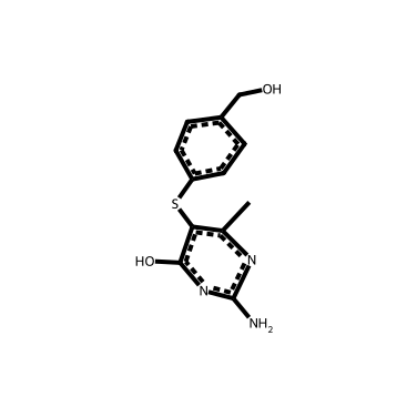 Cc1nc(N)nc(O)c1Sc1ccc(CO)cc1